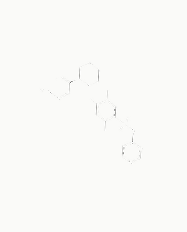 C=C(/C=N\NC)[C@H]1CCCC[C@@H]1Oc1cc(F)c(S(=O)(=O)Nc2ccncn2)cc1C